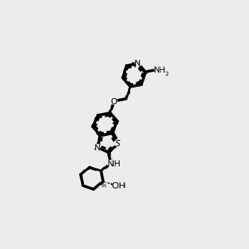 Nc1cc(COc2ccc3nc(NC4CCCC[C@H]4O)sc3c2)ccn1